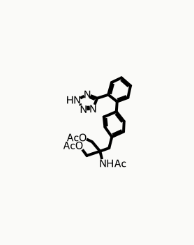 CC(=O)NC(COC(C)=O)(COC(C)=O)Cc1ccc(-c2ccccc2-c2nn[nH]n2)cc1